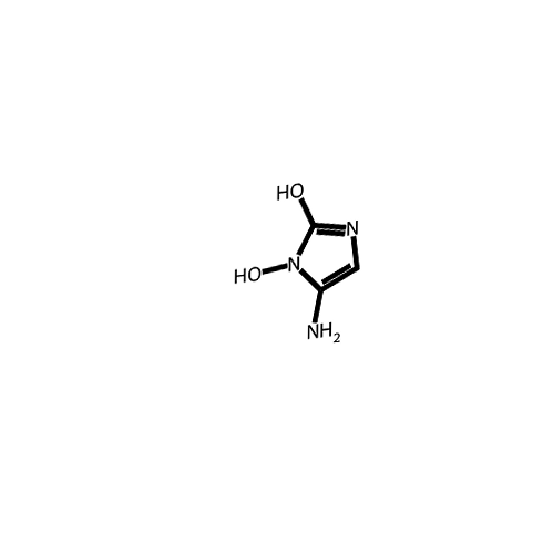 Nc1cnc(O)n1O